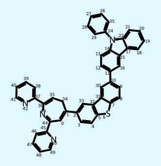 C1=C(c2ccc3sc4ccc(-c5ccc6c(c5)c5ccccc5n6-c5ccccc5)cc4c3c2)CC=C(c2ccccn2)N=C1c1ccccn1